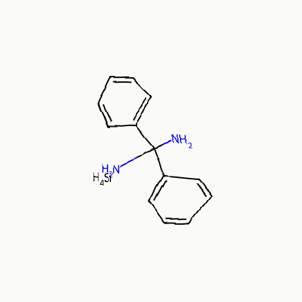 NC(N)(c1ccccc1)c1ccccc1.[SiH4]